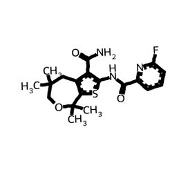 CC1(C)COC(C)(C)c2sc(NC(=O)c3cccc(F)n3)c(C(N)=O)c2C1